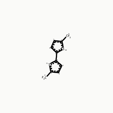 FC(F)(F)c1ccc(-c2ccc(C(F)(F)F)s2)s1